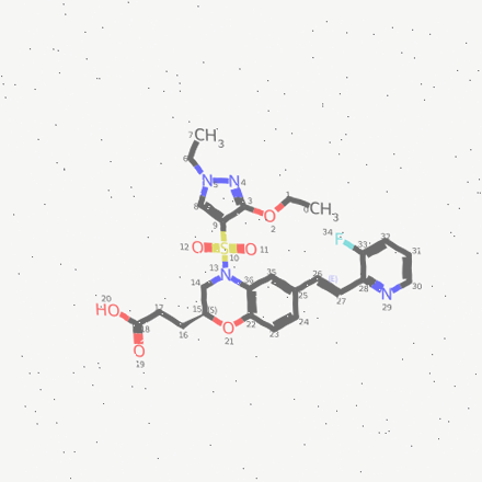 CCOc1nn(CC)cc1S(=O)(=O)N1C[C@H](CCC(=O)O)Oc2ccc(/C=C/c3ncccc3F)cc21